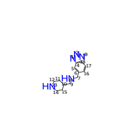 Cn1nnc2cc(CNCC3CCNCC3)ccc21